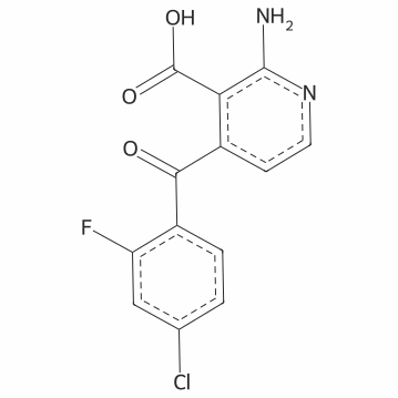 Nc1nccc(C(=O)c2ccc(Cl)cc2F)c1C(=O)O